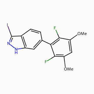 COc1cc(OC)c(F)c(-c2ccc3c(I)n[nH]c3c2)c1F